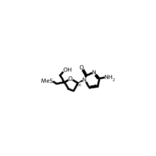 CSCC1(CO)CC[C@H](n2ccc(N)nc2=O)O1